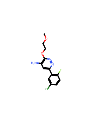 COCCOc1nnc(-c2cc(Cl)ccc2F)cc1N